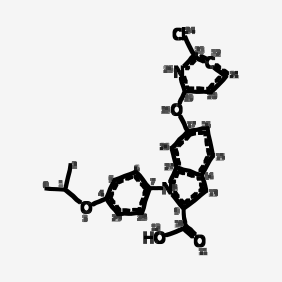 CC(C)Oc1ccc(-n2c(C(=O)O)cc3ccc(Oc4cccc(Cl)n4)cc32)cc1